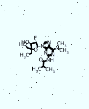 CC[C@]1(CO)O[C@@H](n2cnc3c(N(C)C)nc(NC(=O)C(C)C)nc32)[C@@H](F)[C@@H]1O